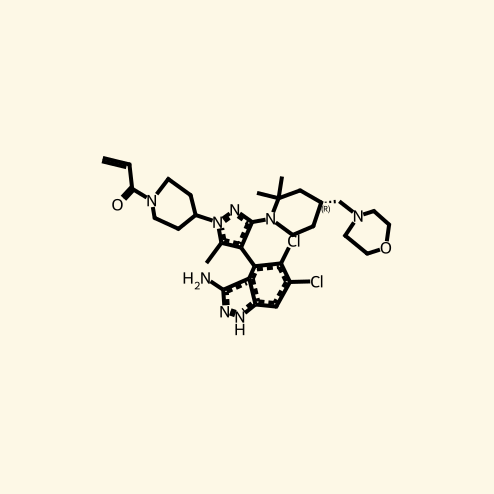 C=CC(=O)N1CCC(n2nc(N3CC[C@@H](CN4CCOCC4)CC3(C)C)c(-c3c(Cl)c(Cl)cc4[nH]nc(N)c34)c2C)CC1